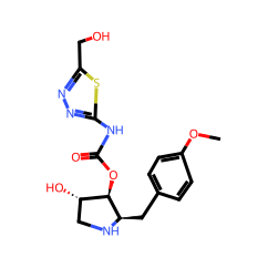 COc1ccc(C[C@H]2NC[C@H](O)[C@H]2OC(=O)Nc2nnc(CO)s2)cc1